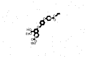 C=CCOC(=O)N1CCC(Oc2ccc(COc3cc4c(c(C(O)OCC)c3)CN(C(=O)OC(C)(C)C)CC4)cc2)CC1